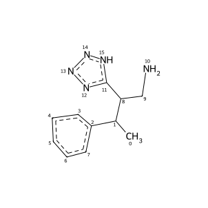 CC(c1ccccc1)C(CN)c1nnn[nH]1